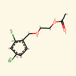 CC(=O)OCCOCc1ccc(Br)cc1F